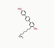 CCCCCCCc1cc(C2=CCC(c3ccc(O)cc3)=CC2)ccc1O